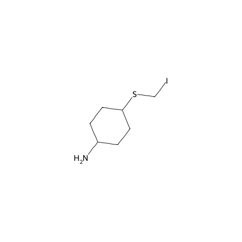 NC1CCC(SCI)CC1